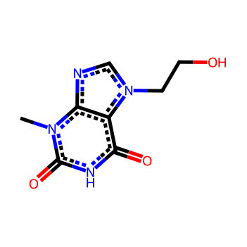 Cn1c(=O)[nH]c(=O)c2c1ncn2CCO